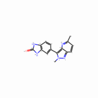 Cc1ccc2nn(C)c(-c3ccc4[nH]c(=O)[nH]c4c3)c2n1